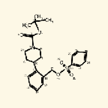 CC(C)(C)OC(=O)N1CCC(c2ccccc2COS(=O)(=O)c2ccccc2)CC1